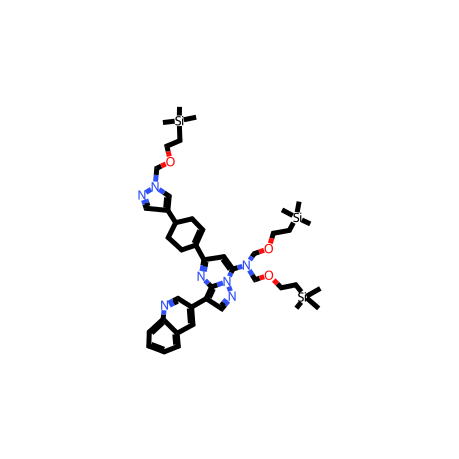 C[Si](C)(C)CCOCN(COCC[Si](C)(C)C)c1cc(C2=CCC(c3cnn(COCC[Si](C)(C)C)c3)CC2)nc2c(-c3cnc4ccccc4c3)cnn12